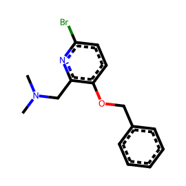 CN(C)Cc1nc(Br)ccc1OCc1ccccc1